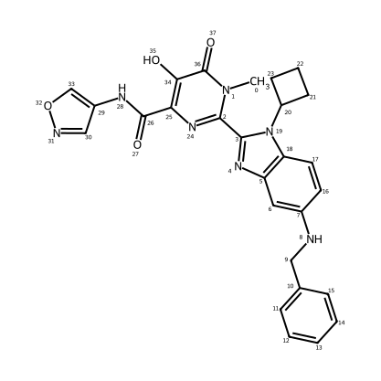 Cn1c(-c2nc3cc(NCc4ccccc4)ccc3n2C2CCC2)nc(C(=O)Nc2cnoc2)c(O)c1=O